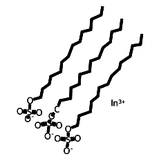 CCCCCCCCCCCCCCOS(=O)(=O)[O-].CCCCCCCCCCCCCCOS(=O)(=O)[O-].CCCCCCCCCCCCCCOS(=O)(=O)[O-].[In+3]